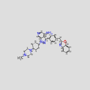 CN1CCN(C2CCC(n3nc(-c4ccc(Cc5nc6ccccc6o5)cc4)c4c(N)cncc43)CC2)CC1